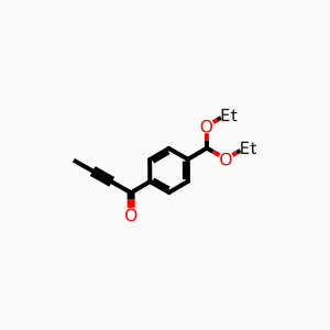 CC#CC(=O)c1ccc(C(OCC)OCC)cc1